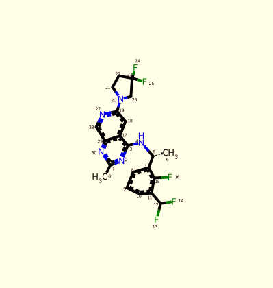 Cc1nc(N[C@H](C)c2cccc(C(F)F)c2F)c2cc(N3CCC(F)(F)C3)ncc2n1